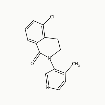 Cc1ccncc1N1CCc2c(Cl)cccc2C1=O